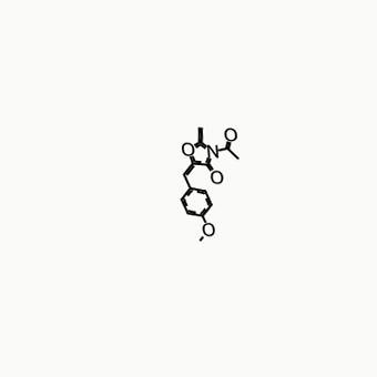 C=c1o/c(=C/c2ccc(OC)cc2)c(=O)n1C(C)=O